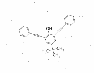 CC(C)(C)c1cc(C#Cc2ccccc2)c(O)c(C#Cc2ccccc2)c1